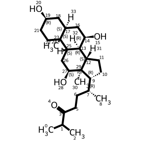 CC(C)C(=O)CC[C@@H](C)[C@H]1CC[C@H]2[C@@H]3[C@H](O)C[C@@H]4C[C@H](O)CC[C@]4(C)[C@H]3C[C@H](O)[C@]12C